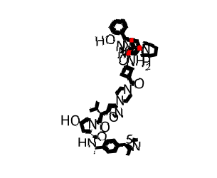 Cc1ncsc1-c1ccc([C@H](C)NC(=O)[C@@H]2C[C@@H](O)CN2C(=O)[C@H](c2cc(N3CCN(C(=O)C4CC(Oc5cc(N6C7CC[C@@H]6CN(c6cc(-c8ccccc8O)nnc6N)C7)ccn5)C4)CC3)no2)C(C)C)cc1